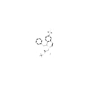 CC[C@H](C(=O)OC(C)(C)C)N1C=Cc2cc(S(N)(=O)=O)ccc2C1Cc1ccccc1